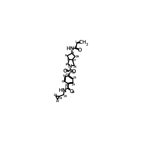 C=CC(=O)NC1CC2CN(S(=O)(=O)c3ccc(C(=O)NCC4CC4)cc3)CC2C1